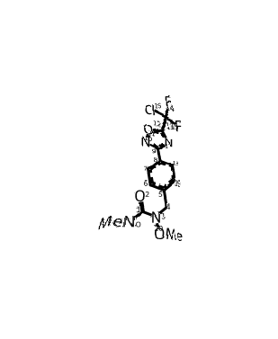 CNC(=O)N(Cc1ccc(-c2noc(C(F)(F)Cl)n2)cc1)OC